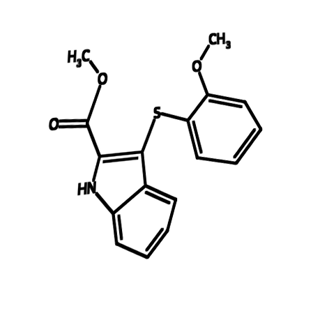 COC(=O)c1[nH]c2ccccc2c1Sc1ccccc1OC